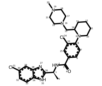 C[C@H](NC(=O)c1ccc(N2CCCCC2CN2CCN(C)CC2)c(Cl)c1)c1nc2cc(Cl)ccc2[nH]1